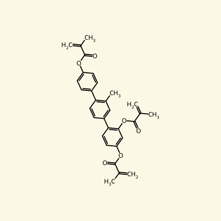 C=C(C)C(=O)Oc1ccc(-c2ccc(-c3ccc(OC(=O)C(=C)C)cc3OC(=O)C(=C)C)cc2C)cc1